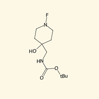 CC(C)(C)OC(=O)NCC1(O)CCN(F)CC1